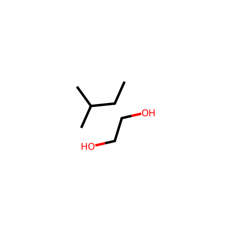 CCC(C)C.OCCO